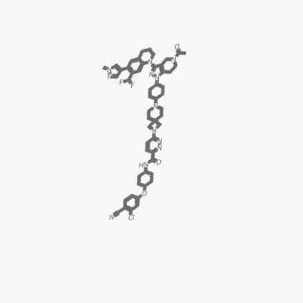 CC(=O)N1CCc2c(c(N3CCCc4cc(-c5cnn(C)c5)c(C(F)F)cc43)nn2C2CCC(N3CCC4(CC3)CN(c3ccc(C(=O)NC5CCC(Oc6ccc(C#N)c(Cl)c6)CC5)nn3)C4)CC2)C1